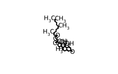 CC(C)=CCC/C(C)=C\CC/C(C)=C\C(=O)OCC(=O)[C@@]1(O)CC[C@H]2[C@@H]3CCC4=CC(=O)C=C[C@]4(C)[C@H]3C(O)C[C@@]21C